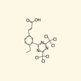 CCc1ccc(C=CC(=O)O)cc1-c1nc(C(Cl)(Cl)Cl)nc(C(Cl)(Cl)Cl)n1